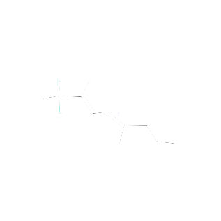 CCC/C(C)=C/C=C(\C)C(C)(F)F